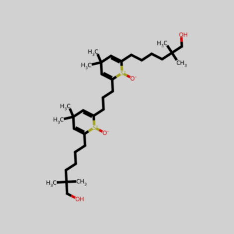 CC1(C)C=C(CCCCC(C)(C)CO)[S+]([O-])C(CCCC2=CC(C)(C)C=C(CCCCC(C)(C)CO)[S+]2[O-])=C1